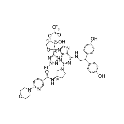 CCn1nnc([C@@]2(n3cnc4c(NCC(c5ccc(O)cc5)c5ccc(O)cc5)nc(N5CC[C@@H](NC(=O)c6ccc(N7CCOCC7)nc6)C5)nc43)OC[C@H](OC(=O)C(F)(F)F)[C@H]2O)n1